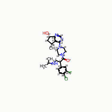 CC(C)NCC(C(=O)N1CCN(c2ncnc3c2[C@H](C)C[C@@H]3O)CC1)c1ccc(Cl)c(F)c1